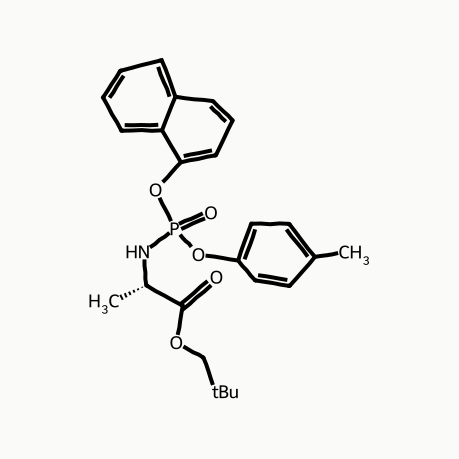 Cc1ccc(OP(=O)(N[C@@H](C)C(=O)OCC(C)(C)C)Oc2cccc3ccccc23)cc1